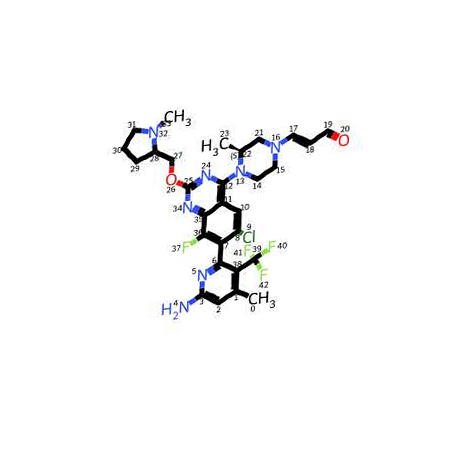 Cc1cc(N)nc(-c2c(Cl)cc3c(N4CCN(C=CC=O)C[C@@H]4C)nc(OCC4CCCN4C)nc3c2F)c1C(F)(F)F